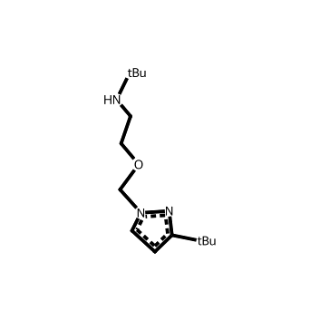 CC(C)(C)NCCOCn1ccc(C(C)(C)C)n1